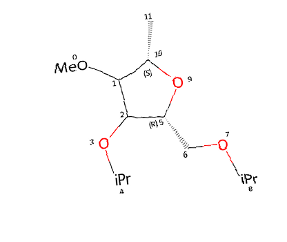 COC1C(OC(C)C)[C@@H](COC(C)C)O[C@H]1C